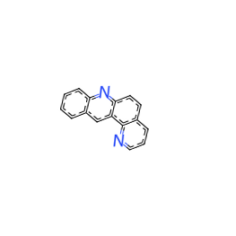 c1ccc2nc3ccc4cccnc4c3cc2c1